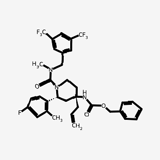 C=CC[C@]1(NC(=O)OCc2ccccc2)CCN(C(=O)N(C)Cc2cc(C(F)(F)F)cc(C(F)(F)F)c2)[C@@H](c2ccc(F)cc2C)C1